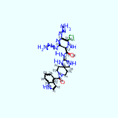 NN=NC1=NC(N=NN)=C(Cl)NC1C(=O)NC1NCC2(CCN(C(=O)c3cccc4[nH]ccc34)CC2)N1